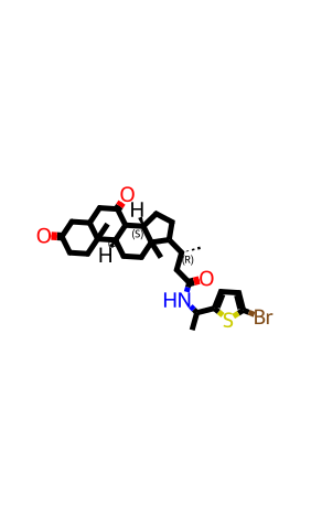 CC(NC(=O)C[C@@H](C)C1CC[C@H]2C3C(=O)CC4CC(=O)CCC4(C)[C@H]3CCC12C)c1ccc(Br)s1